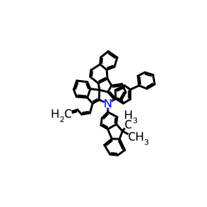 C=C/C=C\C1=C(N(c2ccc(-c3ccccc3)cc2)c2ccc3c(c2)C(C)(C)c2ccccc2-3)C2(c3ccccc31)c1ccccc1-c1c2ccc2ccccc12